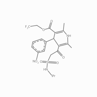 CC1=C(C(=O)CS(=O)(=O)NC(C)C)C(c2cccc([N+](=O)[O-])c2)C(C(=O)OCC(F)(F)F)=C(C)N1